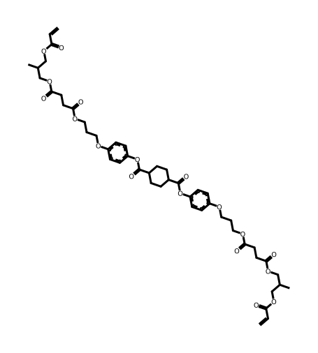 C=CC(=O)OCC(C)COC(=O)CCC(=O)OCCCOc1ccc(OC(=O)C2CCC(C(=O)Oc3ccc(OCCCOC(=O)CCC(=O)OCC(C)COC(=O)C=C)cc3)CC2)cc1